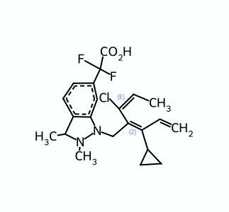 C=C/C(=C(CN1c2cc(C(F)(F)C(=O)O)ccc2C(C)N1C)\C(Cl)=C/C)C1CC1